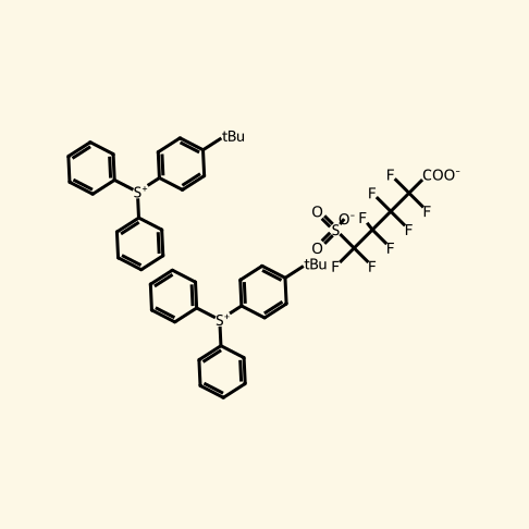 CC(C)(C)c1ccc([S+](c2ccccc2)c2ccccc2)cc1.CC(C)(C)c1ccc([S+](c2ccccc2)c2ccccc2)cc1.O=C([O-])C(F)(F)C(F)(F)C(F)(F)C(F)(F)S(=O)(=O)[O-]